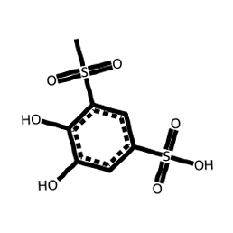 CS(=O)(=O)c1cc(S(=O)(=O)O)cc(O)c1O